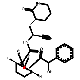 N#C[C@H](C[C@H]1CCCNC1=O)NC(=O)[C@@H]1[C@H]2CC[C@H](CC2(F)F)N1C(=O)[C@H](O)c1ccccc1